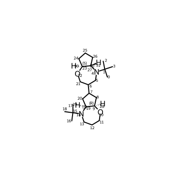 CC(C)(C)N1CC(C2C[C@H]3OCCCN(C(C)(C)C)[C@H]3C2)CO[C@H]2CCC[C@@H]21